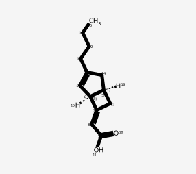 CCCCC1=C[C@@H]2C(=CC(=O)O)C[C@@H]2C1